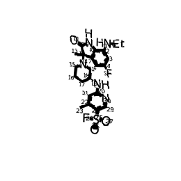 CCNc1cc(F)cc2c1NC(=O)C2(C)N1CCC[C@@H](Nc2cc(C)c(S(=O)(=O)F)cn2)C1